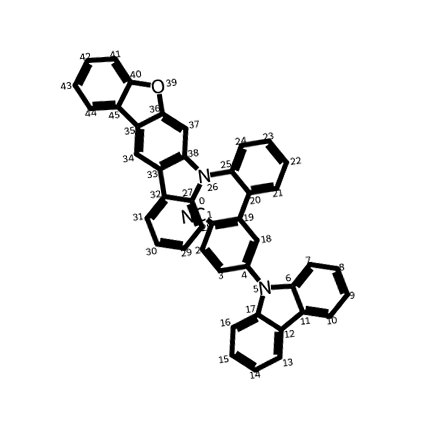 N#Cc1ccc(-n2c3ccccc3c3ccccc32)cc1-c1ccccc1-n1c2ccccc2c2cc3c(cc21)oc1ccccc13